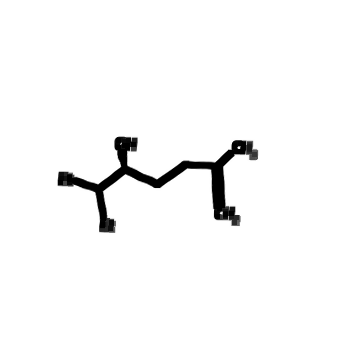 C=C(C)CC[C@H](O)C(CC)CC